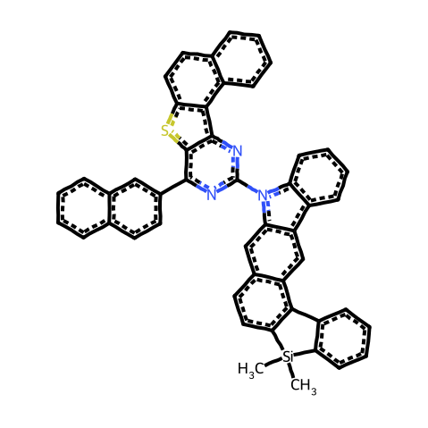 C[Si]1(C)c2ccccc2-c2c1ccc1cc3c(cc21)c1ccccc1n3-c1nc(-c2ccc3ccccc3c2)c2sc3ccc4ccccc4c3c2n1